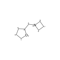 C1COC(CN2CCC2)C1